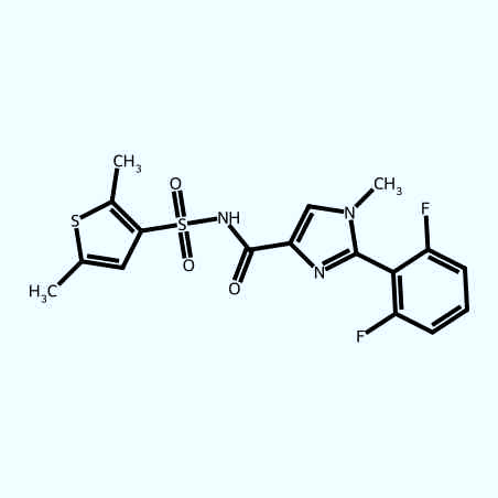 Cc1cc(S(=O)(=O)NC(=O)c2cn(C)c(-c3c(F)cccc3F)n2)c(C)s1